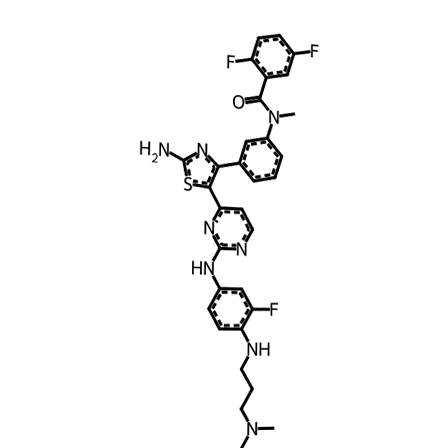 CN(C)CCCNc1ccc(Nc2nccc(-c3sc(N)nc3-c3cccc(N(C)C(=O)c4cc(F)ccc4F)c3)n2)cc1F